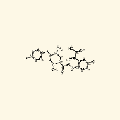 C[C@@H]1CN(Cc2ccc(F)cc2)[C@@H](C)CN1C(=O)COc1ccc(Cl)cc1C(=O)C(=O)O